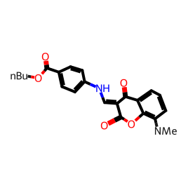 CCCCOC(=O)c1ccc(NC=C2C(=O)Oc3c(NC)cccc3C2=O)cc1